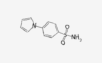 NS(=O)(=O)c1ccc(-n2cccc2)cc1